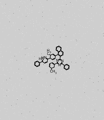 CC1C=CC=C(c2nc(-c3ccccc3)nc(-c3ccc4ccccc4c3C3=CC(C)C(C(=N)/C=C\C(=N)c4ccccc4)C=C3)n2)C1